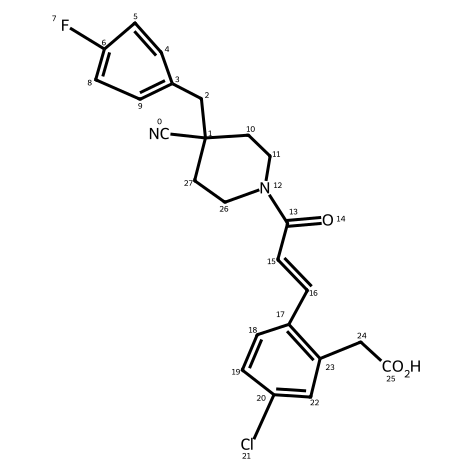 N#CC1(Cc2ccc(F)cc2)CCN(C(=O)/C=C/c2ccc(Cl)cc2CC(=O)O)CC1